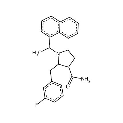 CC(c1cccc2ccccc12)N1CCC(C(N)=O)C1Cc1cccc(F)c1